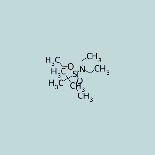 CCO[Si](OCC)(N(CC)CC)C(C)(C)C